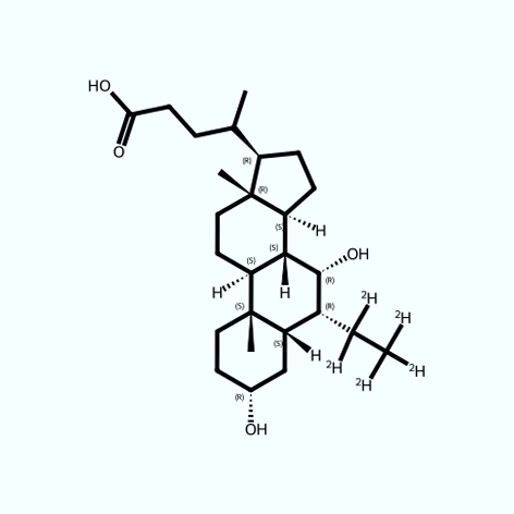 [2H]C([2H])([2H])C([2H])([2H])[C@H]1[C@@H](O)[C@@H]2[C@H](CC[C@]3(C)[C@@H](C(C)CCC(=O)O)CC[C@@H]23)[C@@]2(C)CC[C@@H](O)C[C@@H]12